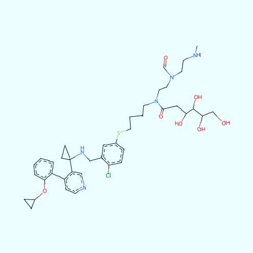 CNCCN(C=O)CCN(CCCCSc1ccc(Cl)c(CNC2(c3cnccc3-c3ccccc3OC3CC3)CC2)c1)C(=O)CC(O)C(O)C(O)CO